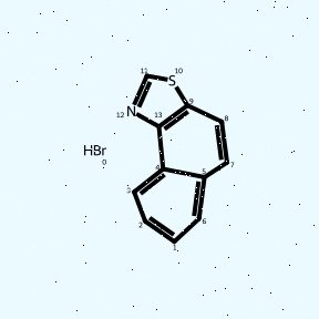 Br.c1ccc2c(c1)ccc1scnc12